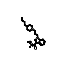 CCCCC1CCN(CCCn2cc(C(=O)N(C)OC)c3ccccc32)CC1